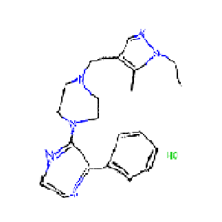 CCn1ncc(CN2CCN(c3nccnc3-c3ccccc3)CC2)c1C.Cl